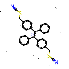 N#CSCc1ccc(/C(=C(\c2ccccc2)c2ccc(CSC#N)cc2)c2ccccc2)cc1